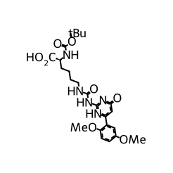 COc1ccc(OC)c(-c2cc(=O)nc(NC(=O)NCCCC[C@H](NC(=O)OC(C)(C)C)C(=O)O)[nH]2)c1